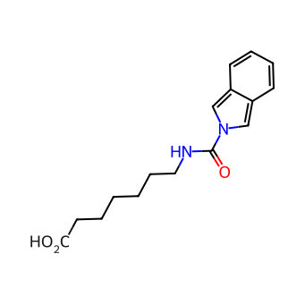 O=C(O)CCCCCCNC(=O)n1cc2ccccc2c1